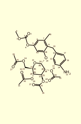 COC(=O)Oc1cc(C)c(Cc2ccc(N)cc2)c(O[C@H]2O[C@H](COC(C)=O)[C@@H](OC(C)=O)[C@H](OC(C)=O)[C@H]2OC(C)=O)c1